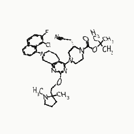 CN1CCCC1(C)COc1nc2c(c(N3CCN(C(=O)OC(C)(C)C)[C@@H](CC#N)C3)n1)CCN(c1cccc3ccc(F)c(Cl)c13)C2